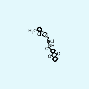 Cc1cccc(N2CCN(CCCCNC(=O)c3ccc4c(c3)C(=O)c3ccccc3C4=O)CC2)c1Cl.Cl